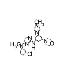 CN1CCN(c2cc(Nc3nccc(N(C)c4cccc(Cl)c4)n3)cc(N3CCOCC3)c2)CC1